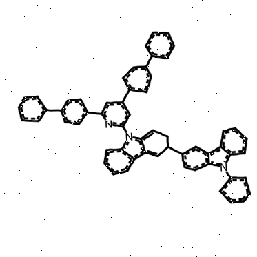 C1=c2c(n(-c3cc(-c4ccc(-c5ccccc5)cc4)cc(-c4ccc(-c5ccccc5)cc4)n3)c3ccccc23)=CCC1c1ccc2c(c1)c1ccccc1n2-c1ccccc1